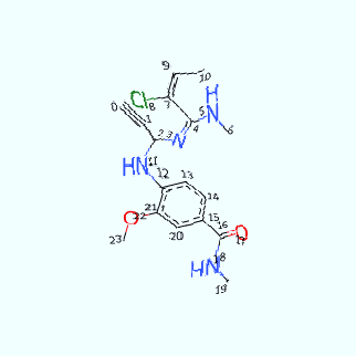 C#CC(/N=C(NC)\C(Cl)=C/C)Nc1ccc(C(=O)NC)cc1OC